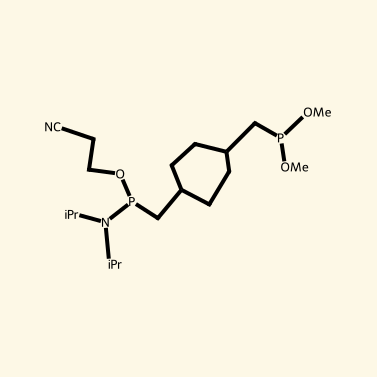 COP(CC1CCC(CP(OCCC#N)N(C(C)C)C(C)C)CC1)OC